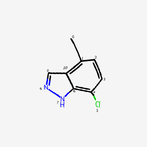 Cc1ccc(Cl)c2[nH]ncc12